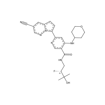 CC(C)(O)[C@H](F)CNC(=O)c1cnc(-c2ccc3cc(C#N)cnn23)cc1NC1CCOCC1